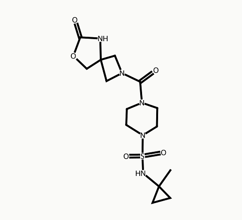 CC1(NS(=O)(=O)N2CCN(C(=O)N3CC4(COC(=O)N4)C3)CC2)CC1